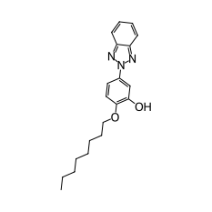 CCCCCCCCOc1ccc(-n2nc3ccccc3n2)cc1O